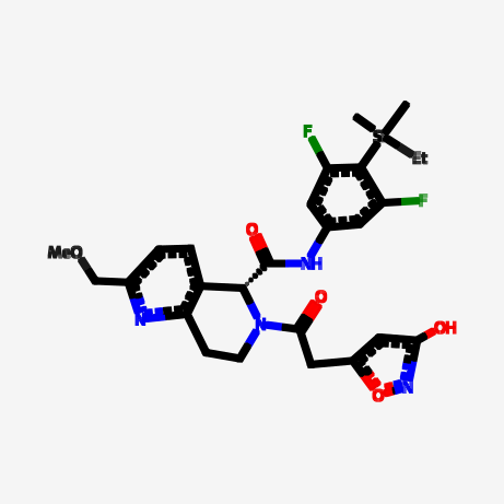 CC[Si](C)(C)c1c(F)cc(NC(=O)[C@H]2c3ccc(COC)nc3CCN2C(=O)Cc2cc(O)no2)cc1F